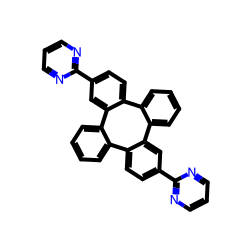 c1cnc(-c2ccc3c(c2)-c2ccccc2-c2ccc(-c4ncccn4)cc2-c2ccccc2-3)nc1